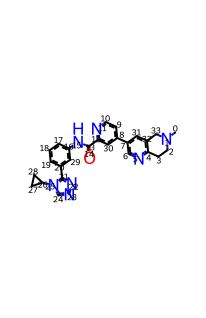 CN1CCc2ncc(-c3ccnc(C(=O)Nc4cccc(-c5nncn5C5CC5)c4)c3)cc2C1